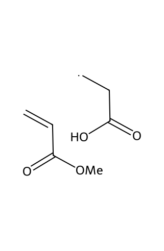 C=CC(=O)OC.[CH2]CC(=O)O